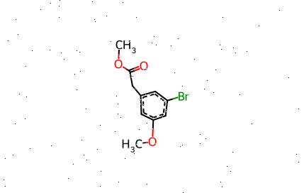 COC(=O)Cc1cc(Br)cc(OC)c1